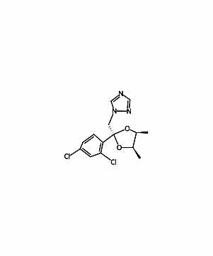 C[C@@H]1O[C@](Cn2cncn2)(c2ccc(Cl)cc2Cl)O[C@@H]1C